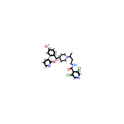 CC(CCNC(=O)c1c(Cl)cncc1Cl)N1CCC(C(Oc2ccccn2)c2ccc(Br)cc2)CC1